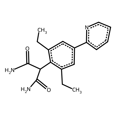 CCc1cc(-c2ccccn2)cc(CC)c1C(C(N)=O)C(N)=O